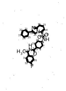 C[C@@H](NC(=O)C1CCC(NS(=O)(=O)c2cccc3nc(-c4ccccc4)cn23)CC1)c1ccc(F)cc1